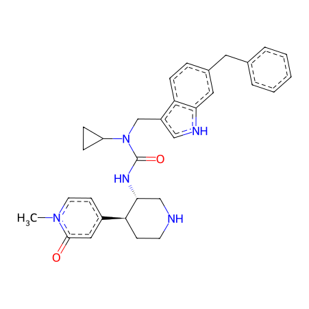 Cn1ccc([C@@H]2CCNC[C@H]2NC(=O)N(Cc2c[nH]c3cc(Cc4ccccc4)ccc23)C2CC2)cc1=O